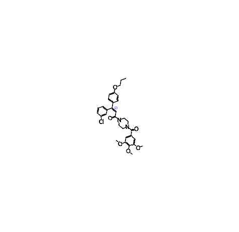 CCCOc1ccc(/C(=C/C(=O)N2CCN(C(=O)c3cc(OC)c(OC)c(OC)c3)CC2)c2cccc(Cl)c2)cc1